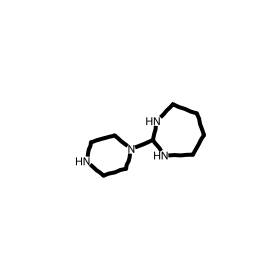 C1CCNC(N2CCNCC2)NC1